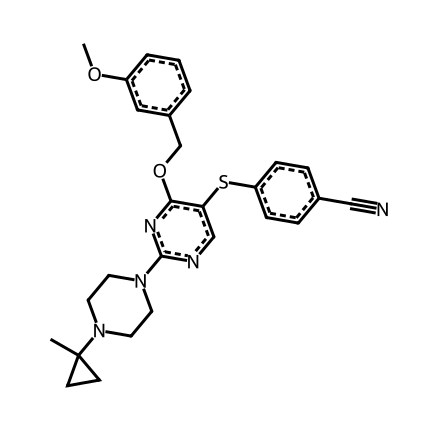 COc1cccc(COc2nc(N3CCN(C4(C)CC4)CC3)ncc2Sc2ccc(C#N)cc2)c1